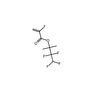 C=C(F)C(=O)OC(C)(C)C(F)(F)C(F)F